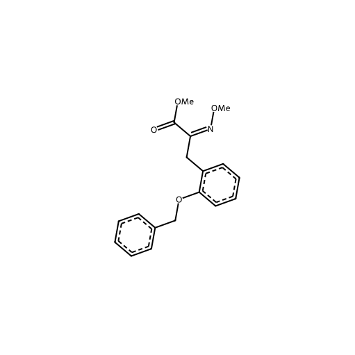 CON=C(Cc1ccccc1OCc1ccccc1)C(=O)OC